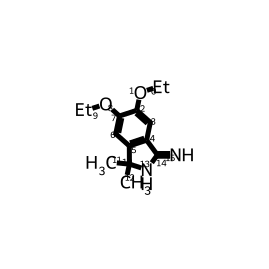 CCOc1cc2c(cc1OCC)C(C)(C)NC2=N